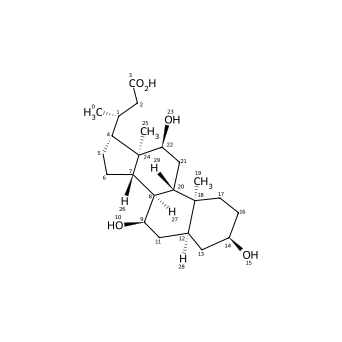 C[C@H](CC(=O)O)[C@H]1CC[C@H]2[C@@H]3[C@H](O)C[C@@H]4C[C@H](O)CC[C@]4(C)[C@H]3C[C@H](O)[C@]12C